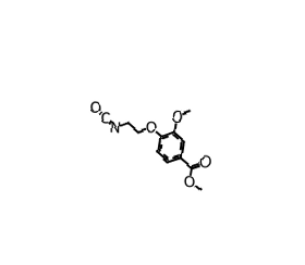 COC(=O)c1ccc(OCCN=C=O)c(OC)c1